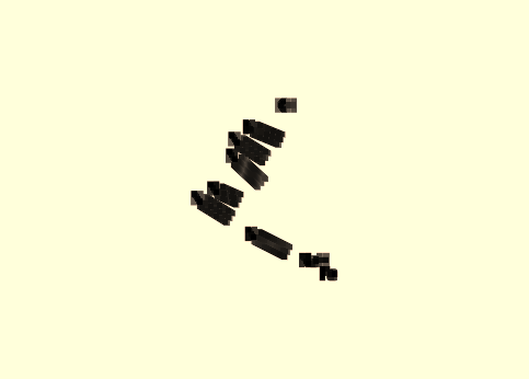 C#N.C#N.C#N.C#N.C#N.C#N.[Fe].[KH].[NaH]